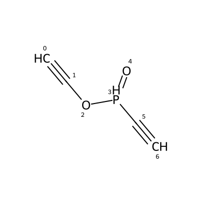 C#CO[PH](=O)C#C